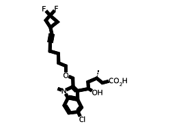 C[C@H](CC(=O)O)CC(O)c1c(COCCCCC#CC2CC(F)(F)C2)n(C)c2ccc(Cl)cc12